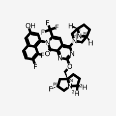 [2H]C1([2H])CC[C@@]2(COc3nc(N4C[C@H]5CC[C@@H](C4)N5)c4cc(C(F)(F)F)n(-c5cc(O)cc6ccc(F)c(F)c56)c(=O)c4n3)C[C@@H](F)CN12